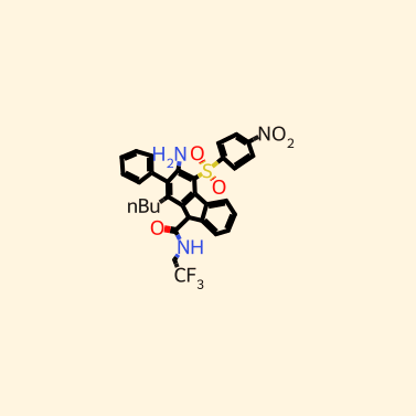 CCCCc1c(-c2ccccc2)c(N)c(S(=O)(=O)c2ccc([N+](=O)[O-])cc2)c2c1C(C(=O)NCC(F)(F)F)c1ccccc1-2